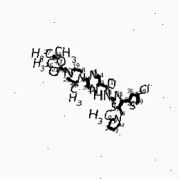 C[C@@H]1CCCN1Cc1sc(NC(=O)c2cnc(N3CCN(C(=O)OC(C)(C)C)C[C@H]3C)cn2)nc1-c1cc(Cl)cs1